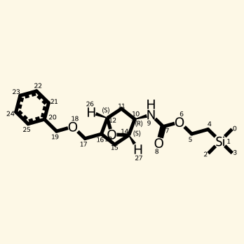 C[Si](C)(C)CCOC(=O)N[C@@H]1C[C@@H]2O[C@H]1CC2COCc1ccccc1